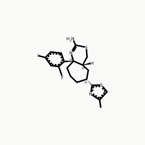 Cc1csc([C@@H]2CCC[C@]3(c4ccc(I)cc4F)N=C(N)SC[C@@H]3C2)n1